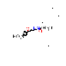 CCCCCCCC(=O)NCCCCCC(=O)c1ccc(S(=O)(=O)O)cc1